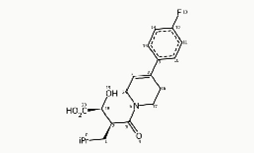 CC(C)C[C@H](C(=O)N1CC=C(c2ccc(F)cc2)CC1)[C@H](O)C(=O)O